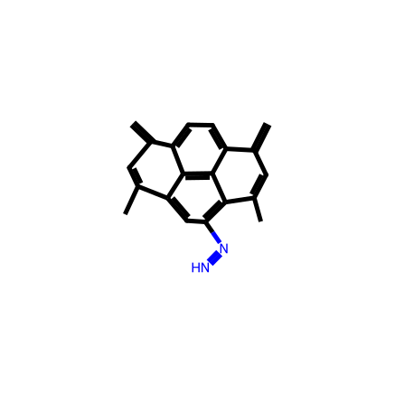 C=c1cc(C)c2cc(N=N)c3c(C)cc(=C)c4ccc1c2c34